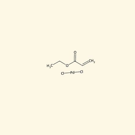 C=CC(=O)OCC.[Cl][Pd][Cl]